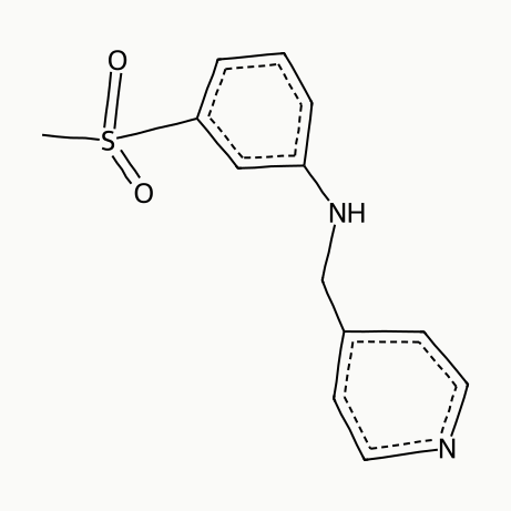 CS(=O)(=O)c1cccc(NCc2ccncc2)c1